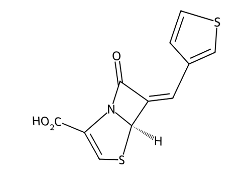 O=C(O)C1=CS[C@@H]2/C(=C/c3ccsc3)C(=O)N12